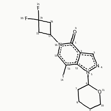 O=c1c2cnn(C3CCCCO3)c2c(I)cn1C1CC(F)(F)C1